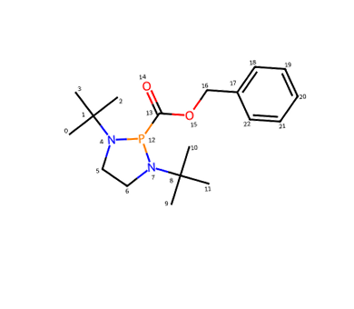 CC(C)(C)N1CCN(C(C)(C)C)P1C(=O)OCc1ccccc1